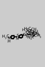 CNc1ccc(-c2nc3ccc(OC[C@@H](CO[Si](C)(C)C(C)(C)C)O[Si](C)(C)C(C)(C)C)cc3s2)cc1